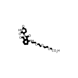 O=C(O)COCCOCCOCCNc1cccc2c1C(=O)N(C1CCC(=O)NC1=O)C2=O